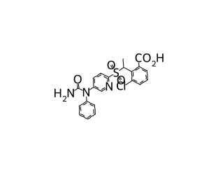 CC(c1c(Cl)cccc1C(=O)O)S(=O)(=O)c1ccc(N(C(N)=O)c2ccccc2)cn1